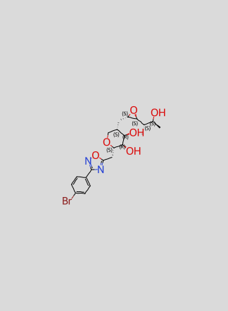 C[C@H]([C@@H]1O[C@H]1C[C@H]1CO[C@@H](Cc2nc(-c3ccc(Br)cc3)no2)[C@H](O)[C@@H]1O)[C@H](C)O